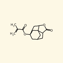 C=C(C)C(=O)OC12CC3CC4C(=O)OC(C1)C4(C3)C2